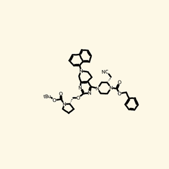 CC(C)(C)OC(=O)N1CCC[C@H]1COc1nc2c(c(N3CCN(C(=O)OCc4ccccc4)[C@@H](CC#N)C3)n1)CCN(c1cccc3ccccc13)C2